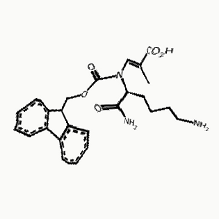 CC(=CN(C(=O)OCC1c2ccccc2-c2ccccc21)[C@@H](CCCCN)C(N)=O)C(=O)O